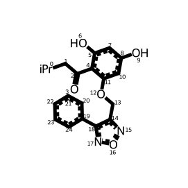 CC(C)CC(=O)c1c(O)cc(O)cc1OCc1nonc1-c1ccccc1